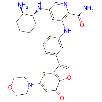 NC(=O)c1ncc(N[C@H]2CCCC[C@H]2N)cc1Nc1cccc(-c2coc3c(=O)cc(N4CCOCC4)sc23)c1